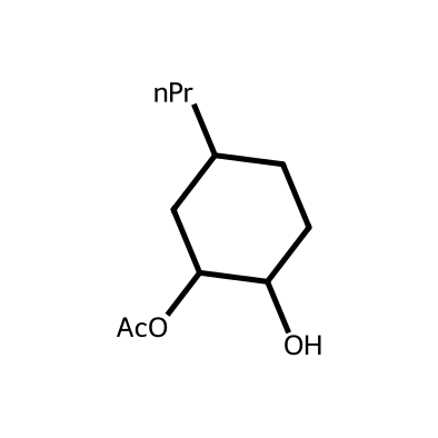 CCCC1CCC(O)C(OC(C)=O)C1